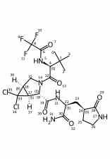 CC(C)(C)[C@H](NC(=O)C(F)(F)F)C(=O)N1C[C@H]2[C@@H]([C@H]1C(=O)N[C@@H](C[C@@H]1CCNC1=O)C(N)=O)C2(Cl)Cl